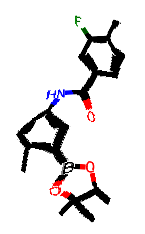 C=C1OB(c2cc(NC(=O)c3ccc(C)c(F)c3)ccc2C)OC1(C)C